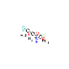 COc1cc2[nH]c(C)c(-c3ccc(-c4ccc(C(F)(F)F)cc4OC)cc3)c(=O)c2cc1Cl